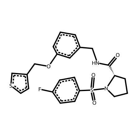 O=C(NCc1cccc(OCc2ccsc2)c1)[C@@H]1CCCN1S(=O)(=O)c1ccc(F)cc1